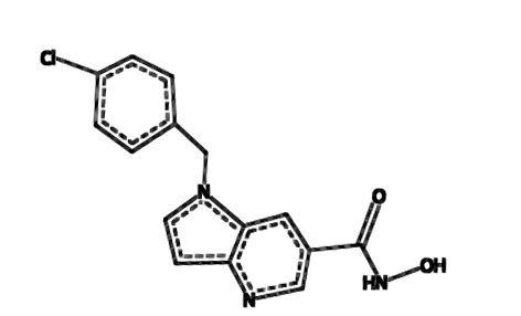 O=C(NO)c1cnc2ccn(Cc3ccc(Cl)cc3)c2c1